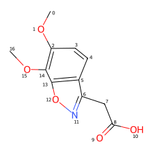 COc1ccc2c(CC(=O)O)noc2c1OC